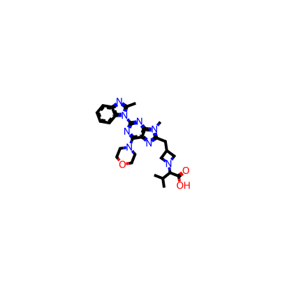 Cc1nc2ccccc2n1-c1nc(N2CCOCC2)c2nc(CC3CN(C(C(=O)O)C(C)C)C3)n(C)c2n1